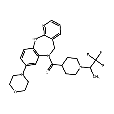 CC(N1CCC(C(=O)N2Cc3cccnc3Nc3ccc(N4CCOCC4)cc32)CC1)C(F)(F)F